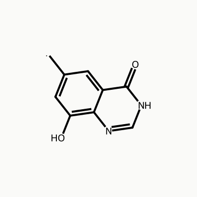 [CH2]c1cc(O)c2nc[nH]c(=O)c2c1